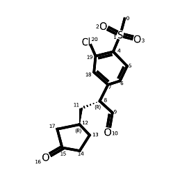 CS(=O)(=O)c1ccc([C@H](C=O)C[C@H]2CCC(=O)C2)cc1Cl